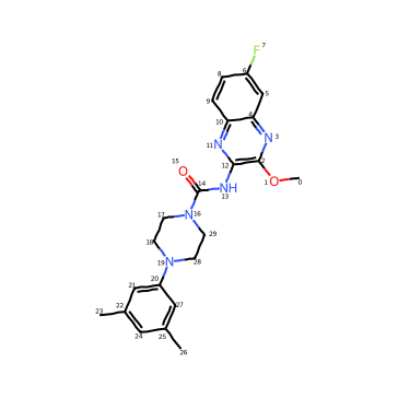 COc1nc2cc(F)ccc2nc1NC(=O)N1CCN(c2cc(C)cc(C)c2)CC1